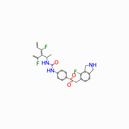 C=C/C(F)=C(\C(=C)F)C(C)NC(=O)Nc1ccc(S(=O)(=O)Cc2ccc3c(c2F)CNC3)cc1